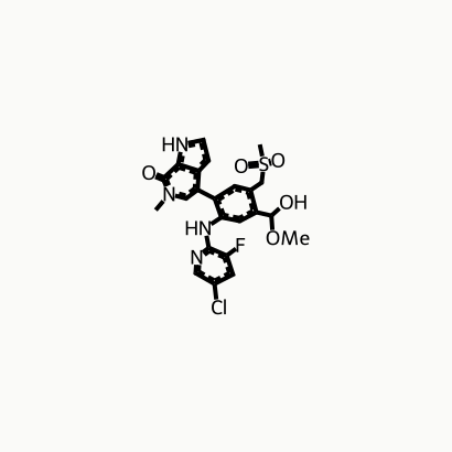 COC(O)c1cc(Nc2ncc(Cl)cc2F)c(-c2cn(C)c(=O)c3[nH]ccc23)cc1CS(C)(=O)=O